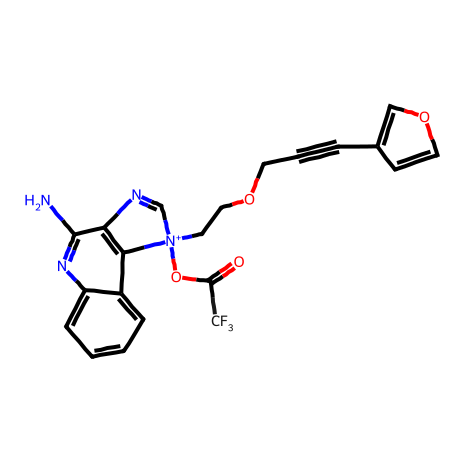 Nc1nc2ccccc2c2c1N=C[N+]2(CCOCC#Cc1ccoc1)OC(=O)C(F)(F)F